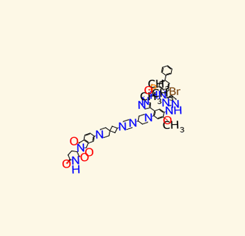 COc1cc(N2CCC(N3CCN(C4CC5(CCN(c6ccc7c(c6)C(=O)N(C6CCC(=O)NC6=O)C7=O)CC5)C4)CC3)CC2)c(-c2cnn(C)c2)cc1Nc1ncc(Br)c(Nc2ccc(-c3ccccc3)cc2P(C)(C)=O)n1